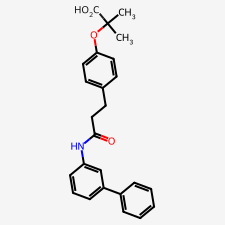 CC(C)(Oc1ccc(CCC(=O)Nc2cccc(-c3ccccc3)c2)cc1)C(=O)O